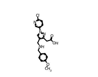 COc1ccc(CNCc2cn(-c3ccc(Cl)nc3)nc2CC(=O)O)cc1